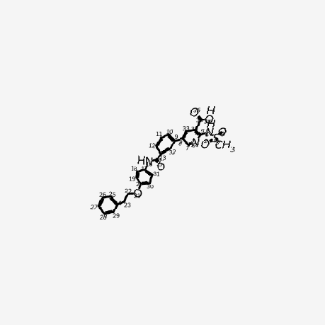 CS(=O)(=O)Nc1ncc(-c2cccc(C(=O)Nc3ccc(OCCc4ccccc4)cc3)c2)cc1C(=O)O